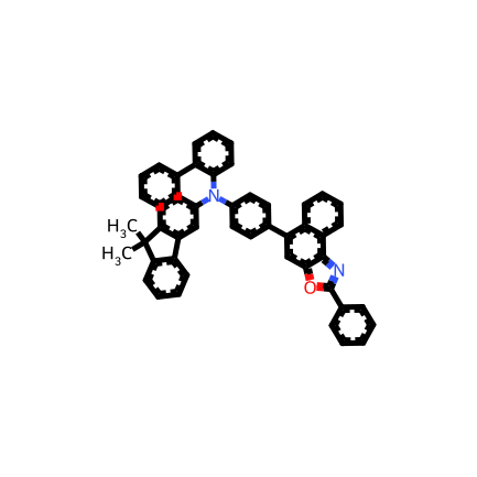 CC1(C)c2ccccc2-c2cc(N(c3ccc(-c4cc5oc(-c6ccccc6)nc5c5ccccc45)cc3)c3ccccc3-c3ccccc3)ccc21